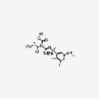 CC[C@](C)(/N=C(\NC)N(C(=O)OC(C)(C)C)C(=O)OC(C)(C)C)c1cc(N)cc(I)c1F